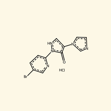 Cl.O=c1c(-n2ccnc2)c[nH]n1-c1ccc(Br)cn1